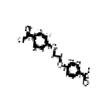 O=C(Cl)c1ccc(OCCOc2ccc(C(=O)Cl)cc2)cc1